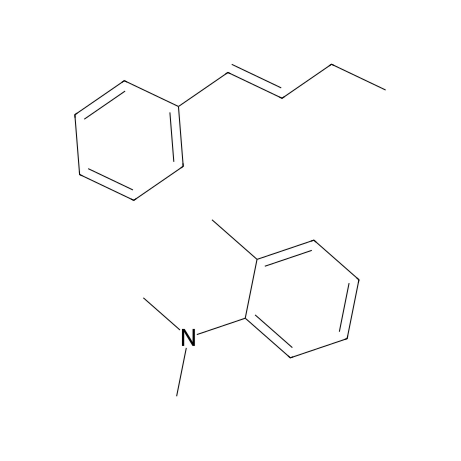 CCC=Cc1ccccc1.Cc1ccccc1N(C)C